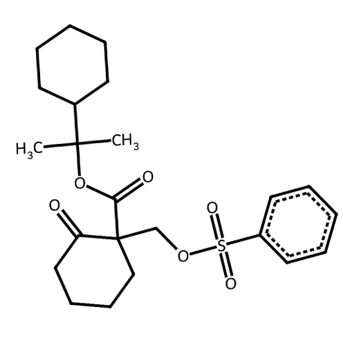 CC(C)(OC(=O)C1(COS(=O)(=O)c2ccccc2)CCCCC1=O)C1CCCCC1